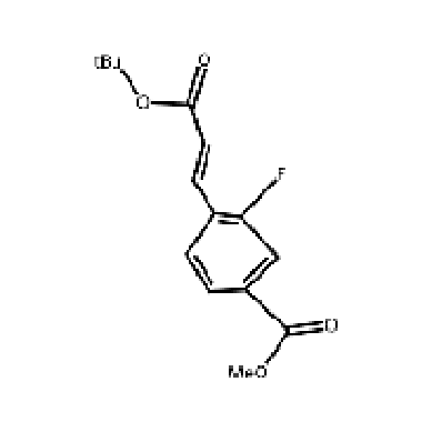 COC(=O)c1ccc(C=CC(=O)OC(C)(C)C)c(F)c1